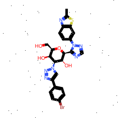 Cc1nc2ccc(-n3ncnc3[C@@H]3O[C@H](CO)[C@H](O)[C@H](n4cc(-c5ccc(Br)cc5)nn4)[C@H]3O)cc2s1